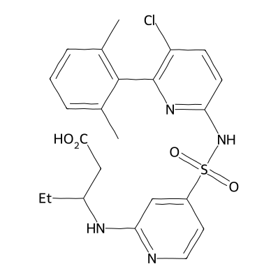 CCC(CC(=O)O)Nc1cc(S(=O)(=O)Nc2ccc(Cl)c(-c3c(C)cccc3C)n2)ccn1